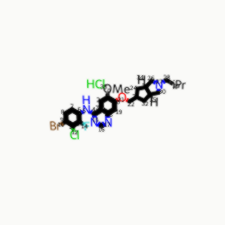 COc1cc2c(Nc3ccc(Br)c(Cl)c3F)ncnc2cc1OCC1C[C@@H]2CN(CC(C)C)C[C@@H]2C1.Cl